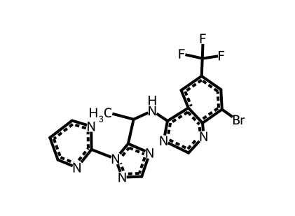 CC(Nc1ncnc2c(Br)cc(C(F)(F)F)cc12)c1ncnn1-c1ncccn1